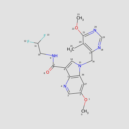 COc1cnc2c(C(=O)NCC(F)F)cn(Cc3ncnc(OC)c3C)c2c1